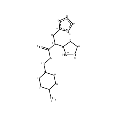 CC1CCC(OCC(=O)N(Cc2cccs2)C2CCON2)CC1